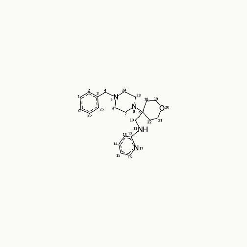 c1ccc(CN2CCN(C3(CNc4ccccn4)CCOCC3)CC2)cc1